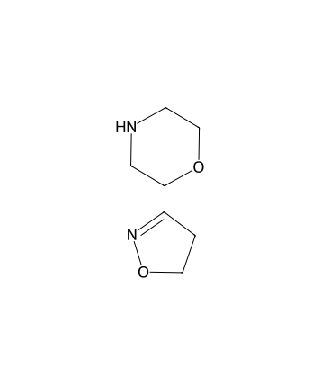 C1=NOCC1.C1COCCN1